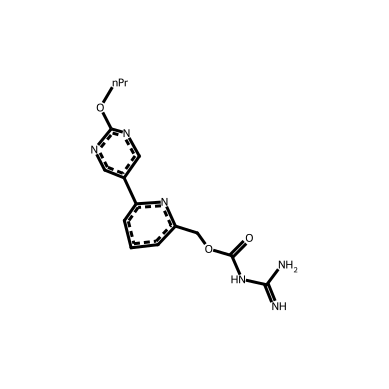 CCCOc1ncc(-c2cccc(COC(=O)NC(=N)N)n2)cn1